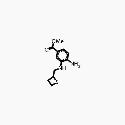 COC(=O)c1ccc(N)c(NCC2CCS2)c1